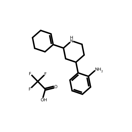 Nc1ccccc1C1CCNC(C2=CCCCC2)C1.O=C(O)C(F)(F)F